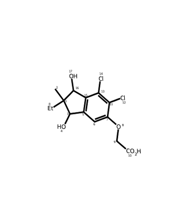 CCC1(C)C(O)c2cc(OCC(=O)O)c(Cl)c(Cl)c2C1O